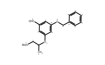 COCC(C)Oc1cc(C=O)cc(OCc2ccccc2)c1